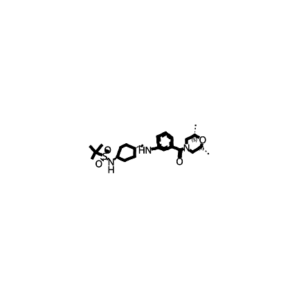 C[C@@H]1CN(C(=O)c2cccc(NC[C@H]3CC[C@H](NS(=O)(=O)C(C)(C)C)CC3)c2)C[C@H](C)O1